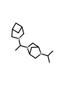 CC(C)N1CC2CC1CN2C(C)N1CC2CC(C2)C1